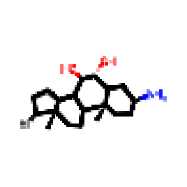 CC[C@H]1CCC2C3C(CC[C@@]21C)[C@@]1(C)CC[C@H](N)CC1[C@@H](O)[C@@H]3O